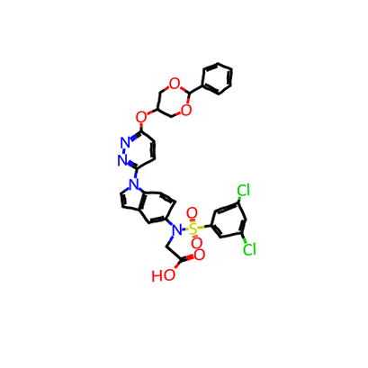 O=C(O)CN(c1ccc2c(ccn2-c2ccc(OC3COC(c4ccccc4)OC3)nn2)c1)S(=O)(=O)c1cc(Cl)cc(Cl)c1